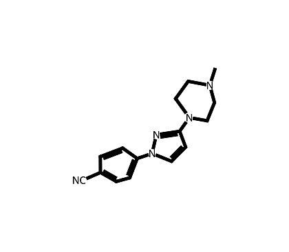 CN1CCN(c2ccn(-c3ccc(C#N)cc3)n2)CC1